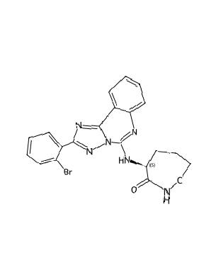 O=C1NCCCC[C@@H]1Nc1nc2ccccc2c2nc(-c3ccccc3Br)nn12